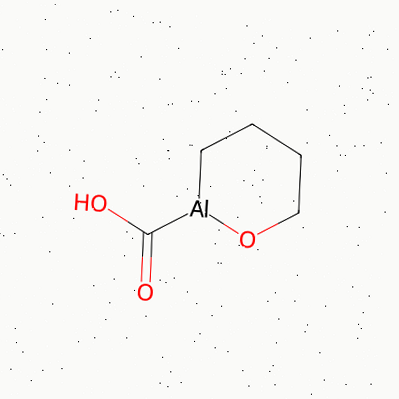 O=[C](O)[Al]1[CH2]CCC[O]1